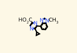 Cn1cnc2c(-c3nc(C(=O)O)cnc3C3CC3)cccc21